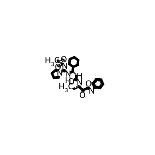 CC[C@@H](NC(=O)C[C@H](NC(=NS(C)(=O)=O)N1CCCC1)C1CCCCC1)C(=O)c1nc2ccccc2o1